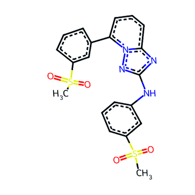 CS(=O)(=O)c1cccc(Nc2nc3cccc(-c4cccc(S(C)(=O)=O)c4)n3n2)c1